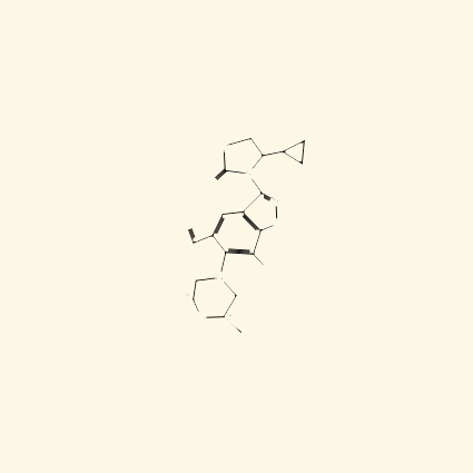 C[C@@H]1CN(c2c(C=O)cc3c(N4C(=O)OCC4C4CC4)noc3c2F)C[C@@H](C)O1